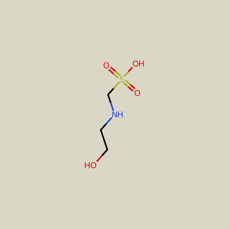 O=S(=O)(O)CNCCO